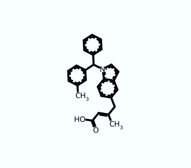 CC(=CC(=O)O)Cc1ccc2c(ccn2C(c2ccccc2)c2cccc(C)c2)c1